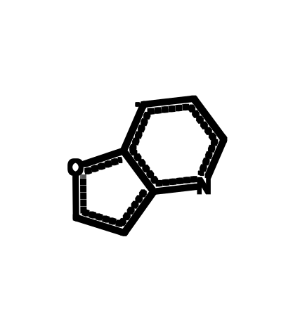 [c]1ccnc2ccoc12